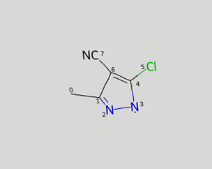 CC1=N[N]C(Cl)=C1C#N